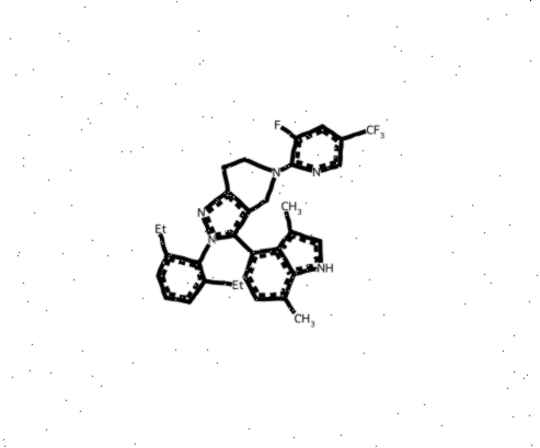 CCc1cccc(CC)c1-n1nc2c(c1-c1ccc(C)c3[nH]cc(C)c13)CN(c1ncc(C(F)(F)F)cc1F)CC2